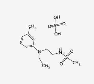 CCN(CCNS(C)(=O)=O)c1cccc(C)c1.O=S(=O)(O)O